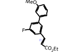 CCOC(=O)/C=C/c1cc(F)cc(-c2cccc(OC)c2)c1